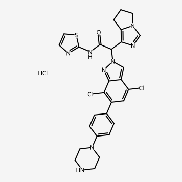 Cl.O=C(Nc1nccs1)C(c1ncn2c1CCC2)n1cc2c(Cl)cc(-c3ccc(N4CCNCC4)cc3)c(Cl)c2n1